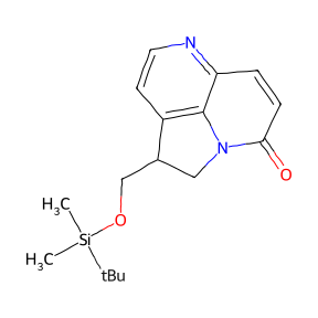 CC(C)(C)[Si](C)(C)OCC1Cn2c(=O)ccc3nccc1c32